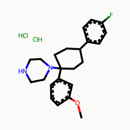 COc1cccc(C2(N3CCNCC3)CCC(c3ccc(F)cc3)CC2)c1.Cl.Cl